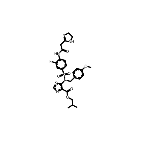 COc1ccc(CN(c2scnc2C(=O)OCC(C)C)S(=O)(=O)c2ccc(NC(=O)CC3=NCCN3)c(F)c2)cc1